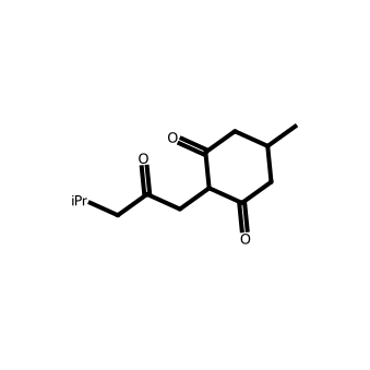 CC(C)CC(=O)CC1C(=O)CC(C)CC1=O